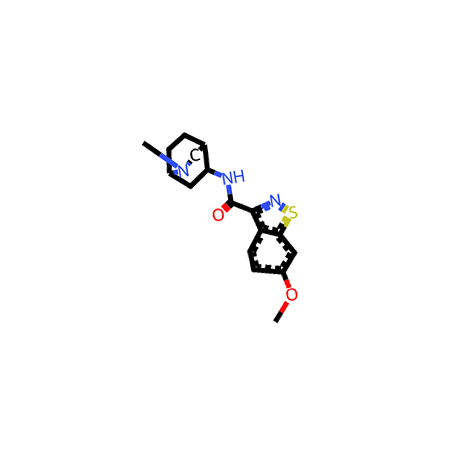 COc1ccc2c(C(=O)NC3CC4CCC3CN4C)nsc2c1